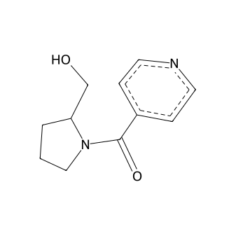 O=C(c1ccncc1)N1CCCC1CO